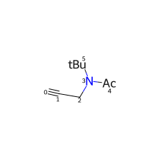 C#CCN(C(C)=O)C(C)(C)C